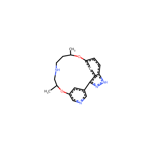 CC1CCNCC(C)Oc2cncc(c2)-c2n[nH]c3ccc(cc23)O1